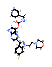 CC(NC(=O)Oc1c[nH]c2ncc(-c3nn(CCN4CCOCC4)c4cc(F)ccc34)nc12)c1ccncc1